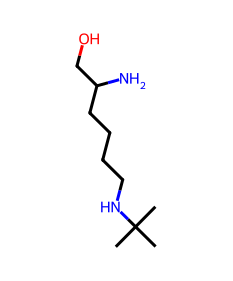 CC(C)(C)NCCCCC(N)CO